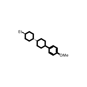 CC[C@H]1CC[C@H](C2CCC(c3ccc(OC)cc3)CC2)CC1